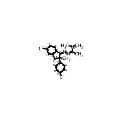 C/C(=N/N=C1/c2ccc(Cl)cc2CC1(C)c1ccc(Cl)cc1)N(C)C